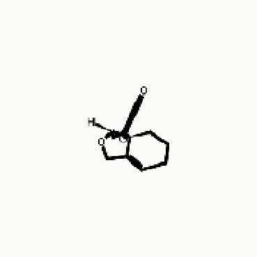 O=C1C[C@@H]2OCC3=CCCC[C@]32O1